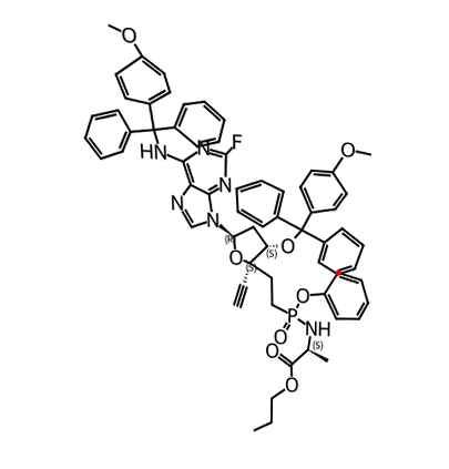 C#C[C@]1(CCP(=O)(N[C@@H](C)C(=O)OCCC)Oc2ccccc2)O[C@@H](n2cnc3c(NC(c4ccccc4)(c4ccccc4)c4ccc(OC)cc4)nc(F)nc32)C[C@@H]1OC(c1ccccc1)(c1ccccc1)c1ccc(OC)cc1